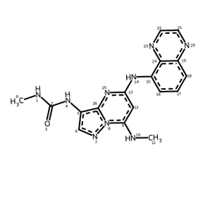 CNC(=O)Nc1cnn2c(NC)cc(Nc3cccc4nccnc34)nc12